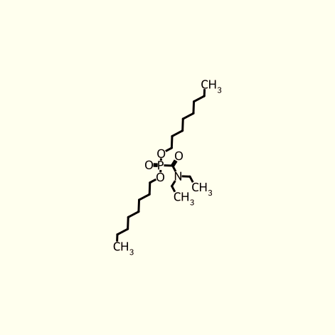 CCCCCCCCOP(=O)(OCCCCCCCC)C(=O)N(CC)CC